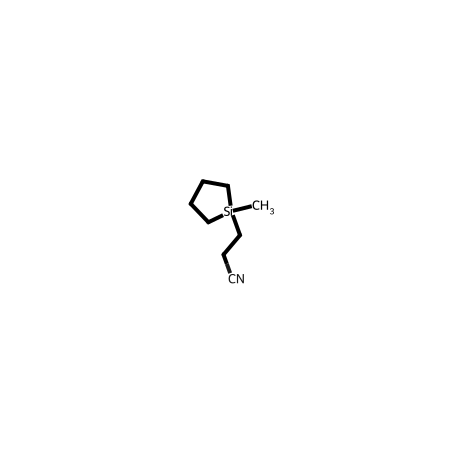 C[Si]1(CCC#N)CCCC1